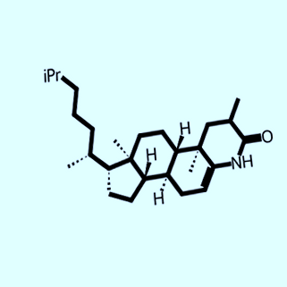 CC(C)CCC[C@@H](C)[C@H]1CC[C@H]2[C@@H]3CC=C4NC(=O)C(C)C[C@]4(C)[C@H]3CC[C@]12C